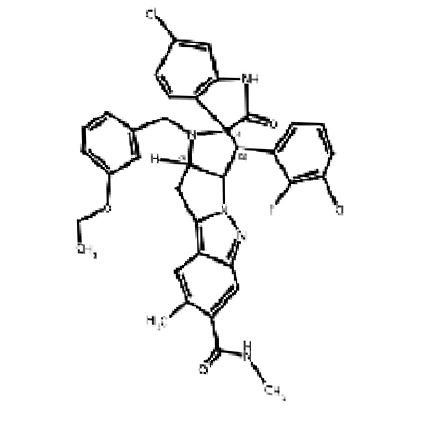 CCOc1cccc(CN2[C@H]3Cc4c5cc(C)c(C(=O)NC)cc5nn4C3[C@H](c3cccc(Cl)c3F)[C@]23C(=O)Nc2cc(Cl)ccc23)c1